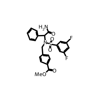 COC(=O)c1ccc(CN(C(C(N)=O)c2ccccc2)S(=O)(=O)c2cc(F)cc(F)c2)cc1